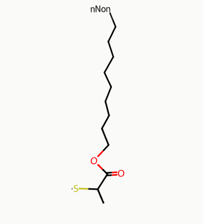 CCCCCCCCCCCCCCCCCCOC(=O)C(C)[S]